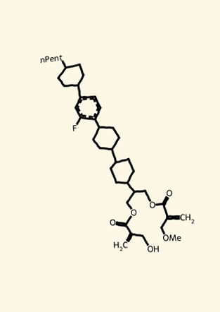 C=C(CO)C(=O)OCC(COC(=O)C(=C)COC)C1CCC(C2CCC(c3ccc(C4CCC(CCCCC)CC4)cc3F)CC2)CC1